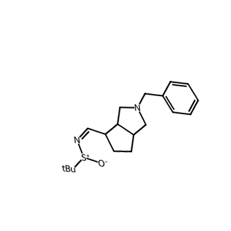 CC(C)(C)[S+]([O-])/N=C\C1CCC2CN(Cc3ccccc3)CC12